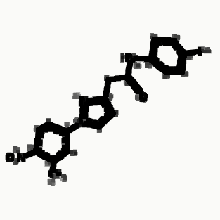 O=C(Cc1ccn(-c2ccc([N+](=O)[O-])c(C(F)(F)F)c2)n1)Nc1ccc(F)cc1